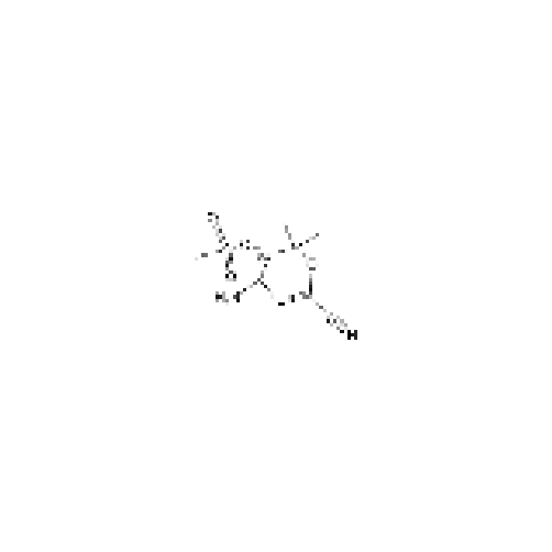 CC1(C)OC(C#N)=CC(N)[C@@H]1OS(C)(=O)=O